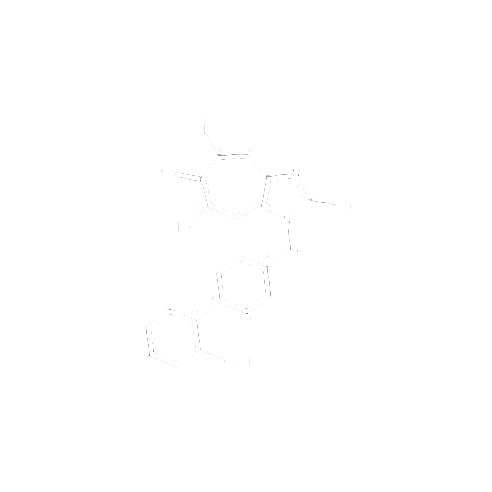 CCCc1nc2cc(Cl)c(=O)c(O)cc2n1Cc1ccc(-c2ccccc2C(=O)O)cc1